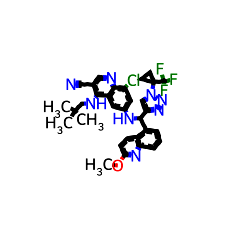 COc1ccc2c(C(Nc3cc(Cl)c4ncc(C#N)c(NCC(C)(C)C)c4c3)c3cn(C4(C(F)(F)F)CC4)nn3)cccc2n1